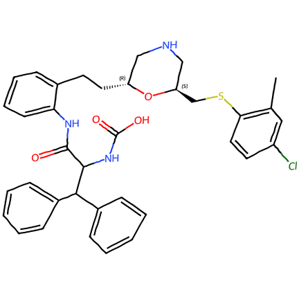 Cc1cc(Cl)ccc1SC[C@@H]1CNC[C@@H](CCc2ccccc2NC(=O)C(NC(=O)O)C(c2ccccc2)c2ccccc2)O1